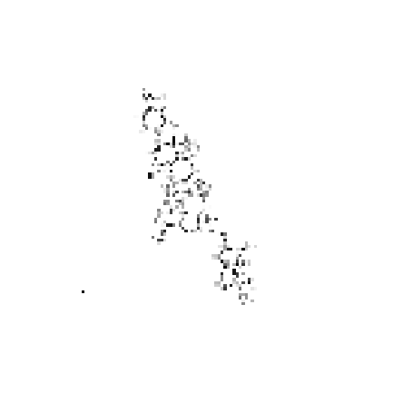 C=C(C)[C@@H]1CC[C@]2(NCCN3C[C@@H]4C[C@H]3CN4S(C)(=O)=O)CC[C@]3(C)[C@H](CCC4[C@@]5(C)CC=C(c6ccc(C(=O)O)cc6)C(C)(C)C5CC[C@]43C)C12